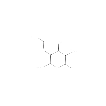 CCC1OC(OC)C(OCC(=O)O)C(O)C1O